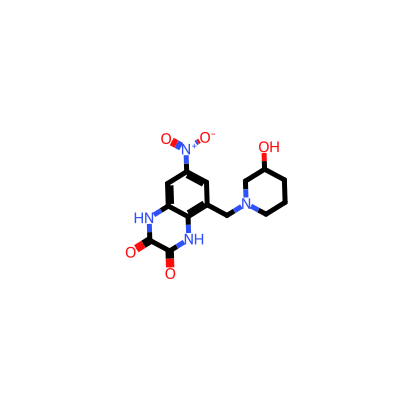 O=c1[nH]c2cc([N+](=O)[O-])cc(CN3CCCC(O)C3)c2[nH]c1=O